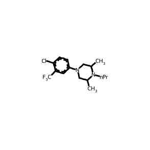 CCCN1C(C)CN(c2ccc(Cl)c(C(F)(F)F)c2)CC1C